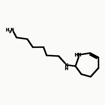 NCCCCCCNC1CCCC=CN1